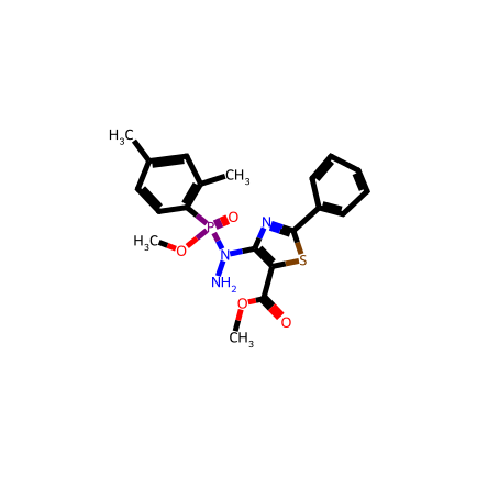 COC(=O)c1sc(-c2ccccc2)nc1N(N)P(=O)(OC)c1ccc(C)cc1C